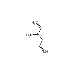 C=CN(N)CC=N